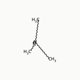 CCCCCCCCCCCCCCCCN1C=CN(CCCCCC)C1CCCCCCCCCCCCCCC